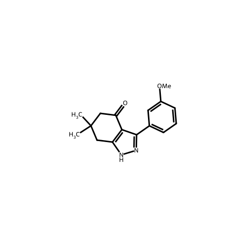 COc1cccc(-c2n[nH]c3c2C(=O)CC(C)(C)C3)c1